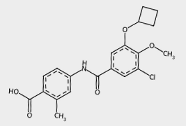 COc1c(Cl)cc(C(=O)Nc2ccc(C(=O)O)c(C)c2)cc1OC1CCC1